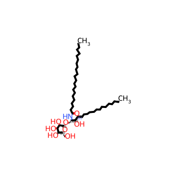 CCCCCCCCCCCCC/C=C/[C@@H](O)[C@H](CO[C@@H]1O[C@H](CO)[C@H](O)C(O)C1O)NC(=O)CCCCCCCCCCCCCCCCCCCCCC